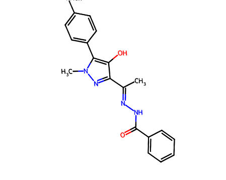 CCCCCCc1ccc(-c2c(O)c(/C(C)=N/NC(=O)c3ccccc3)nn2C)cc1